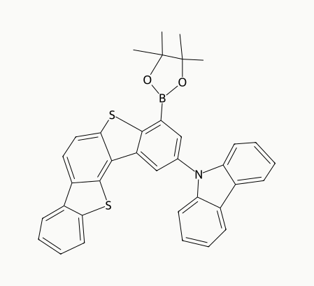 CC1(C)OB(c2cc(-n3c4ccccc4c4ccccc43)cc3c2sc2ccc4c5ccccc5sc4c23)OC1(C)C